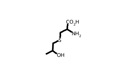 CC(O)CSCC(N)C(=O)O